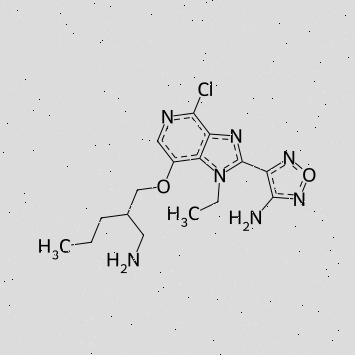 CCCC(CN)COc1cnc(Cl)c2nc(-c3nonc3N)n(CC)c12